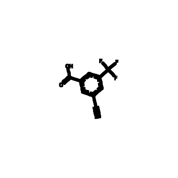 C#Cc1cc(C(=O)O)cc(C(F)(F)F)c1